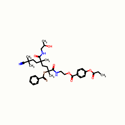 CCC(=O)Oc1ccc(C(=O)OCCNC(=O)C(C)(CCC(C)(CCC(C)(C)C#N)C(=O)NCC(C)O)SC(=S)c2ccccc2)cc1